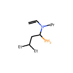 C=CN(C(C)C)C(P)CC(CC)CC